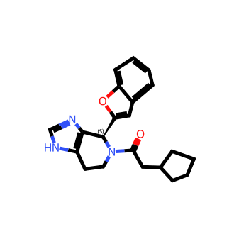 O=C(CC1CCCC1)N1CCc2[nH]cnc2[C@H]1c1cc2ccccc2o1